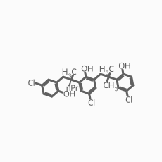 CCC[C@](C)(Cc1cc(Cl)ccc1O)c1cc(Cl)cc(CC(C)(C)c2cc(Cl)ccc2O)c1O